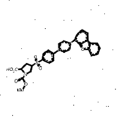 CC(C)(C)OC(=O)N1CC(S(=O)(=O)c2ccc(-c3ccc(-c4cccc5c4oc4ccccc45)cc3)cc2)CC1C(=O)O